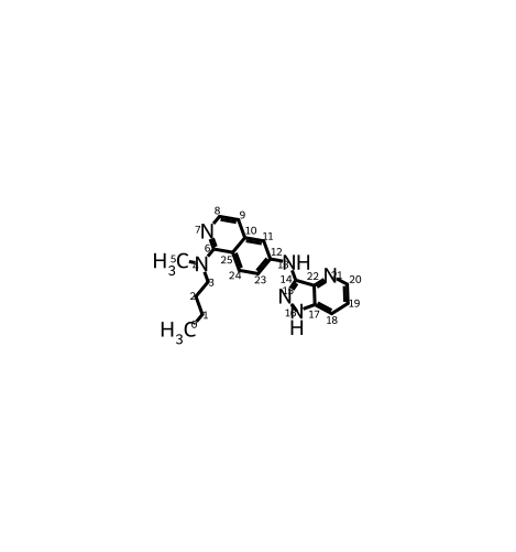 CCCCN(C)c1nccc2cc(Nc3n[nH]c4cccnc34)ccc12